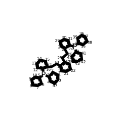 c1ccc(P(c2ccccc2)c2ccccc2CCc2ccccc2CCc2ccccc2P(c2ccccc2)c2ccccc2)cc1